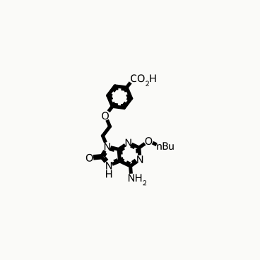 CCCCOc1nc(N)c2[nH]c(=O)n(CCOc3ccc(C(=O)O)cc3)c2n1